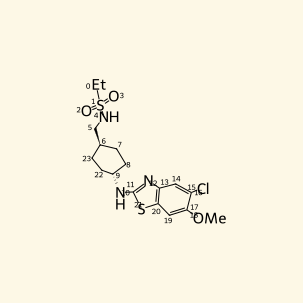 CCS(=O)(=O)NC[C@H]1CC[C@H](Nc2nc3cc(Cl)c(OC)cc3s2)CC1